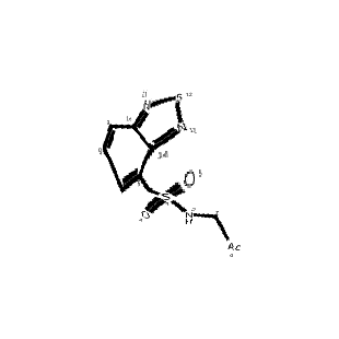 CC(=O)CNS(=O)(=O)c1cccc2nsnc12